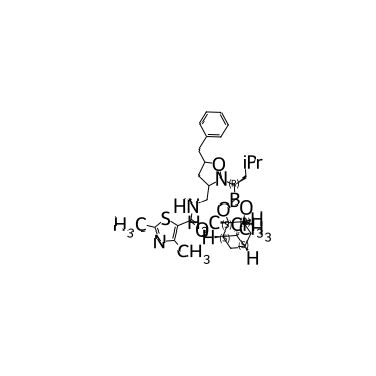 Cc1nc(C)c(C(=O)NCC2CC(Cc3ccccc3)ON2[C@@H](CC(C)C)B2O[C@@H]3C[C@@H]4C[C@@H](C4(C)C)[C@]3(C)O2)s1